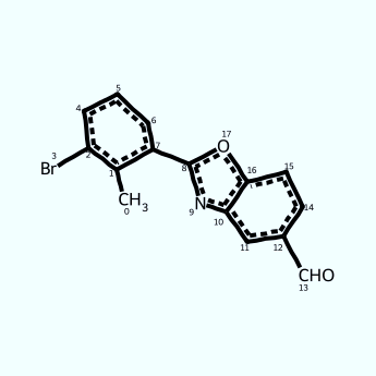 Cc1c(Br)cccc1-c1nc2cc(C=O)ccc2o1